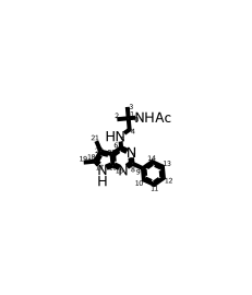 CC(=O)NC(C)(C)CNc1nc(-c2ccccc2)nc2[nH]c(C)c(C)c12